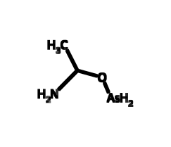 CC(N)O[AsH2]